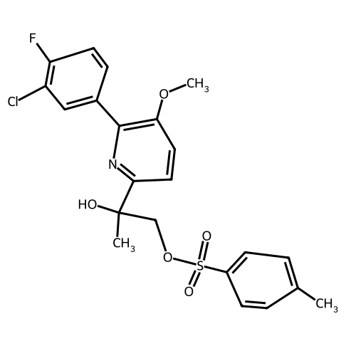 COc1ccc(C(C)(O)COS(=O)(=O)c2ccc(C)cc2)nc1-c1ccc(F)c(Cl)c1